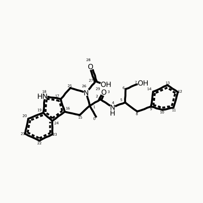 CC1(C(=O)NC(CO)Cc2ccccc2)Cc2c([nH]c3ccccc23)CN1C(=O)O